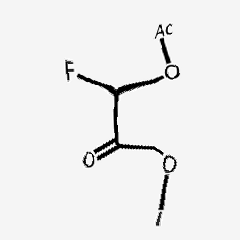 CC(=O)OC(F)C(=O)OI